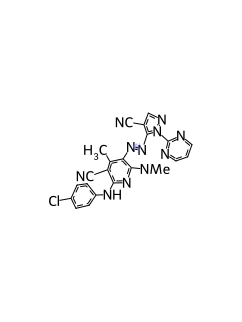 CNc1nc(Nc2ccc(Cl)cc2)c(C#N)c(C)c1/N=N/c1c(C#N)cnn1-c1ncccn1